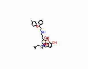 Cc1ccc(OC(CCNCCC[C@]2(O)CC[C@@]3(O)[C@H]4Cc5ccc(O)c6c5[C@@]3(CCN4CCC3CC3)[C@H]2O6)c2ccccc2)cc1